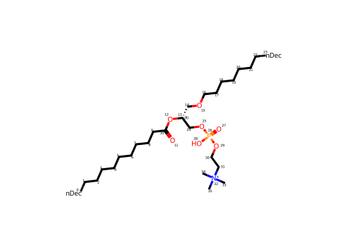 CCCCCCCCCCCCCCCCCCCC(=O)O[C@H](COCCCCCCCCCCCCCCCCC)COP(=O)(O)OCC[N+](C)(C)C